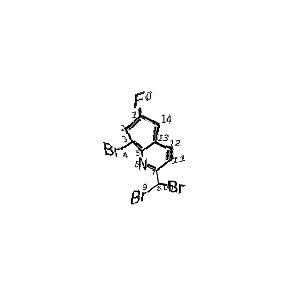 Fc1cc(Br)c2nc(C(Br)Br)ccc2c1